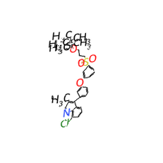 Cc1cnc2c(Cl)cccc2c1-c1cccc(Oc2cccc(S(=O)(=O)CCCO[Si](C)(C)C(C)(C)C)c2)c1